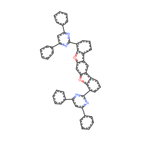 c1ccc(-c2cc(-c3ccccc3)nc(-c3cccc4c3oc3cc5oc6c(-c7nc(-c8ccccc8)cc(-c8ccccc8)n7)cccc6c5cc34)n2)cc1